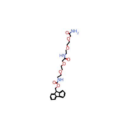 NC(=O)COCCOCCNC(=O)COCCOCCNC(=O)OCC1c2ccccc2-c2ccccc21